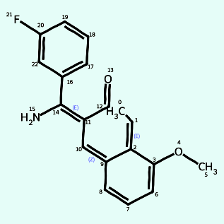 C/C=c1/c(OC)ccc/c1=C/C(C=O)=C(\N)c1cccc(F)c1